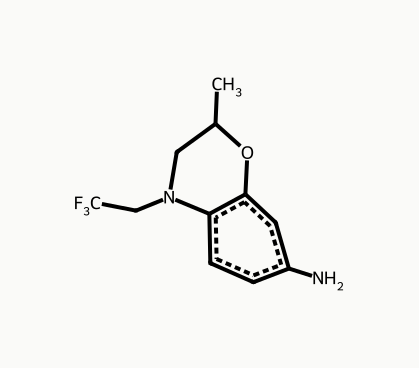 CC1CN(CC(F)(F)F)c2ccc(N)cc2O1